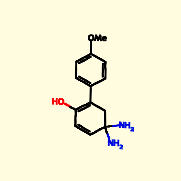 COc1ccc(C2=C(O)C=CC(N)(N)C2)cc1